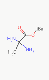 CC(C)(C)OC(=O)C(C)(N)N